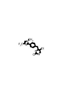 CCc1cnc(Cl)nc1Cc1ccc(-c2nc(C(F)(F)F)cn2C)cc1